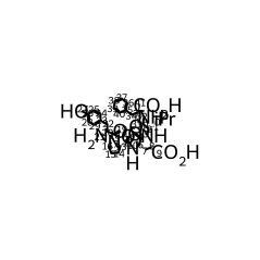 CC(C)C[C@H](NC(=O)[C@H](CCC(=O)O)NC(=O)[C@@H]1CCCN1C(=O)[C@@H](N)Cc1ccc(O)cc1)C(=O)N[C@@H](Cc1ccccc1)C(=O)O